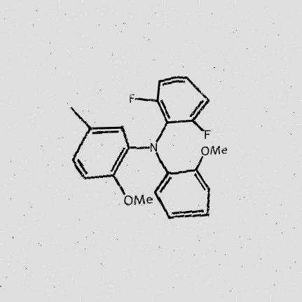 COc1ccccc1N(c1cc(C)ccc1OC)c1c(F)cccc1F